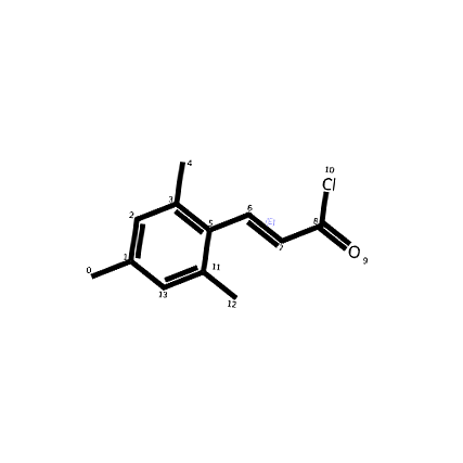 Cc1cc(C)c(/C=C/C(=O)Cl)c(C)c1